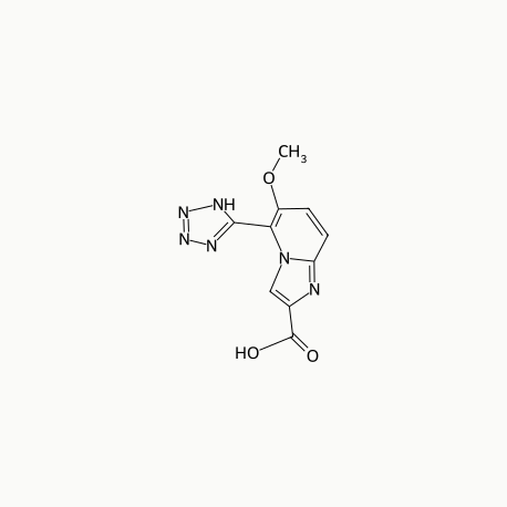 COc1ccc2nc(C(=O)O)cn2c1-c1nnn[nH]1